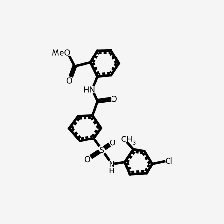 COC(=O)c1ccccc1NC(=O)c1cccc(S(=O)(=O)Nc2ccc(Cl)cc2C)c1